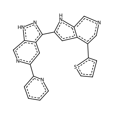 c1ccc(-c2cc3c(-c4cc5c(-c6cccs6)cncc5[nH]4)n[nH]c3cn2)nc1